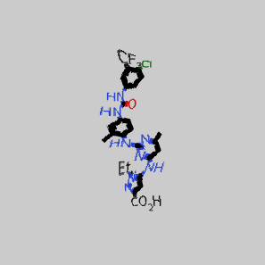 CCn1nc(C(=O)O)cc1Nc1cc(C)nc(Nc2ccc(NC(=O)Nc3ccc(Cl)c(C(F)(F)F)c3)cc2C)n1